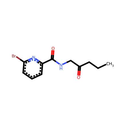 CCCC(=O)CNC(=O)c1cccc(Br)n1